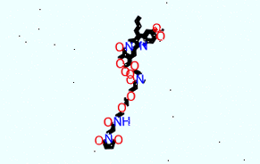 CCCCc1c2c(nc3cc4c(cc13)OCO4)-c1cc3c(c(=O)n1C2)COC(=O)[C@H]3OC(=O)CN(C)C(=O)CCOCCOCCNC(=O)CCN1C(=O)C=CC1=O